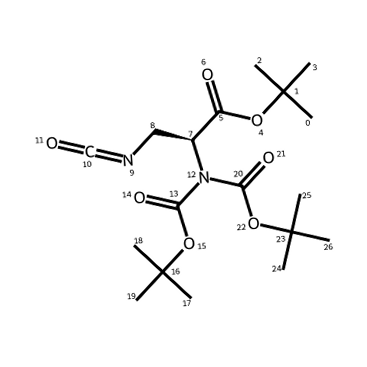 CC(C)(C)OC(=O)[C@H](CN=C=O)N(C(=O)OC(C)(C)C)C(=O)OC(C)(C)C